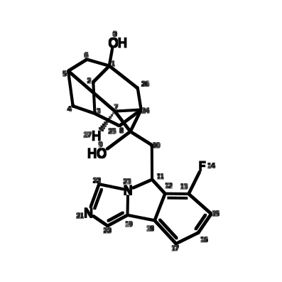 OC12CC3CC(C1)[C@@H]1C(O)(CC4c5c(F)cccc5-c5cncn54)C1(C3)C2